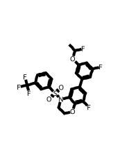 CC(F)Oc1cc(F)cc(-c2cc(F)c3c(c2)N(S(=O)(=O)c2cccc(C(F)(F)F)c2)CCO3)c1